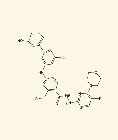 CC(C)Cc1cc(Nc2cc(Cl)cc(-c3cccc(O)c3)c2)ccc1C(=O)NNc1ncc(F)c(N2CCOCC2)n1